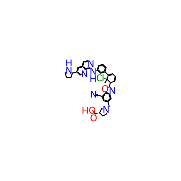 CC1(Cl)C(c2cccc(Nc3nccc4cc(C5CCCN5)cnc34)c2)=CC=CC1c1nc2cc(CN3CC[C@@H](C(=O)O)C3)cc(C#N)c2o1